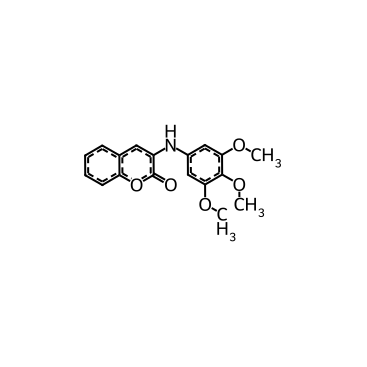 COc1cc(Nc2cc3ccccc3oc2=O)cc(OC)c1OC